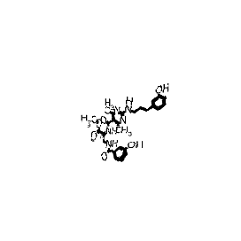 COC(=O)[C@H](CNC(=O)c1cccc(O)c1)NC(=O)c1c(C)nc(NCCCc2cccc(O)c2)nc1C